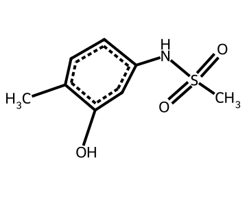 Cc1ccc(NS(C)(=O)=O)cc1O